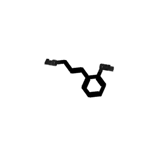 COc1ccccc1/C=C/COC(C)=O